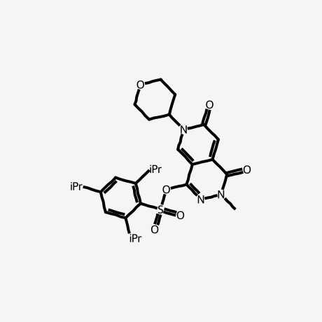 CC(C)c1cc(C(C)C)c(S(=O)(=O)Oc2nn(C)c(=O)c3cc(=O)n(C4CCOCC4)cc23)c(C(C)C)c1